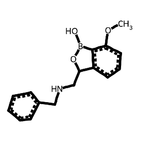 COc1cccc2c1B(O)OC2CNCc1ccccc1